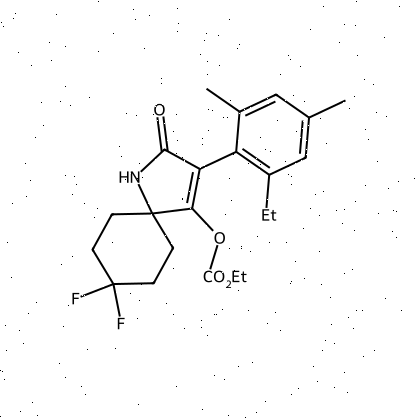 CCOC(=O)OC1=C(c2c(C)cc(C)cc2CC)C(=O)NC12CCC(F)(F)CC2